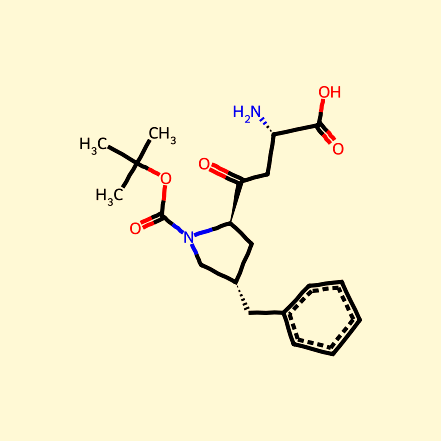 CC(C)(C)OC(=O)N1C[C@@H](Cc2ccccc2)C[C@@H]1C(=O)C[C@H](N)C(=O)O